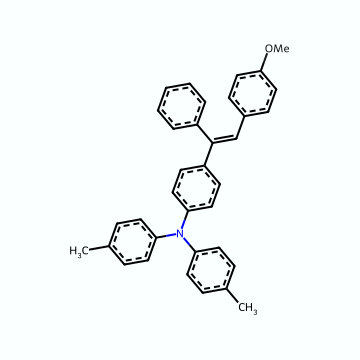 COc1ccc(/C=C(\c2ccccc2)c2ccc(N(c3ccc(C)cc3)c3ccc(C)cc3)cc2)cc1